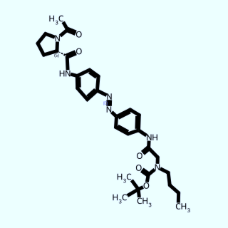 CCCCN(CC(=O)Nc1ccc(/N=N/c2ccc(NC(=O)[C@@H]3CCCN3C(C)=O)cc2)cc1)C(=O)OC(C)(C)C